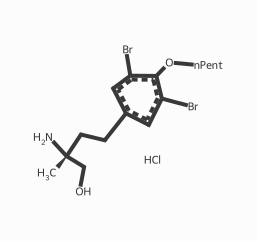 CCCCCOc1c(Br)cc(CC[C@@](C)(N)CO)cc1Br.Cl